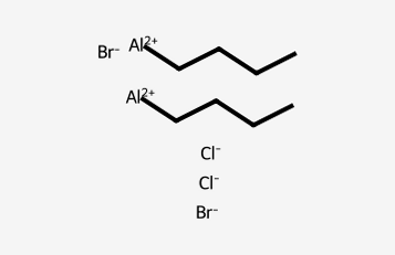 CCC[CH2][Al+2].CCC[CH2][Al+2].[Br-].[Br-].[Cl-].[Cl-]